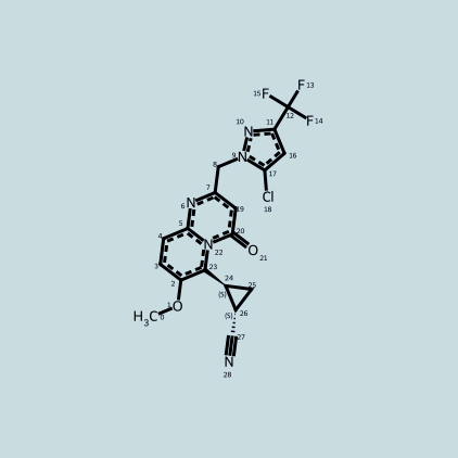 COc1ccc2nc(Cn3nc(C(F)(F)F)cc3Cl)cc(=O)n2c1[C@H]1C[C@@H]1C#N